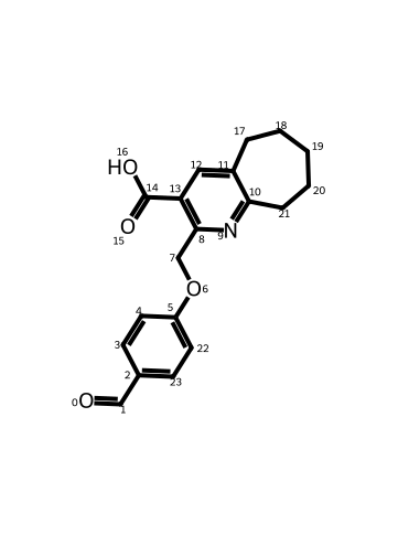 O=Cc1ccc(OCc2nc3c(cc2C(=O)O)CCCCC3)cc1